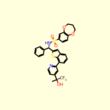 C[C@@](O)(c1ccnc(-c2cccc3cc([C@H](NS(=O)(=O)c4ccc5c(c4)OCCCO5)c4ccccc4)sc23)c1)C(F)(F)F